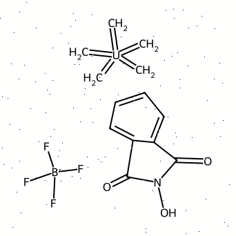 F[B-](F)(F)F.O=C1c2ccccc2C(=O)N1O.[CH2]=[U](=[CH2])(=[CH2])(=[CH2])=[CH2]